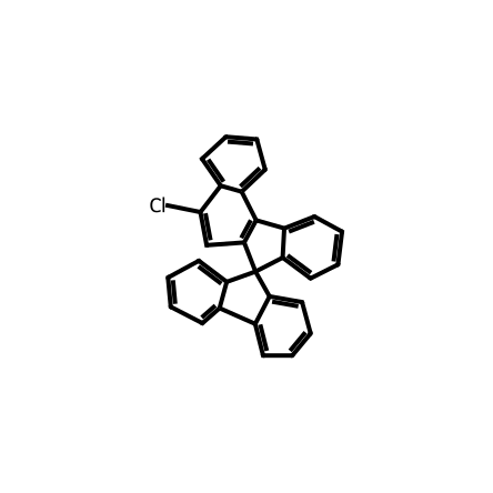 Clc1cc2c(c3ccccc13)-c1ccccc1C21c2ccccc2-c2ccccc21